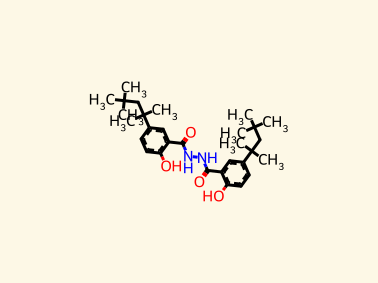 CC(C)(C)CC(C)(C)c1ccc(O)c(C(=O)NNC(=O)c2cc(C(C)(C)CC(C)(C)C)ccc2O)c1